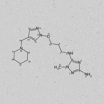 Cn1nc(N)nc1NCCCOn1cc(CN2CCCCC2)cn1